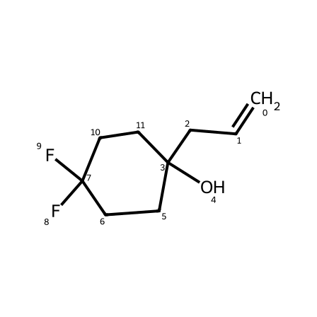 C=CCC1(O)CCC(F)(F)CC1